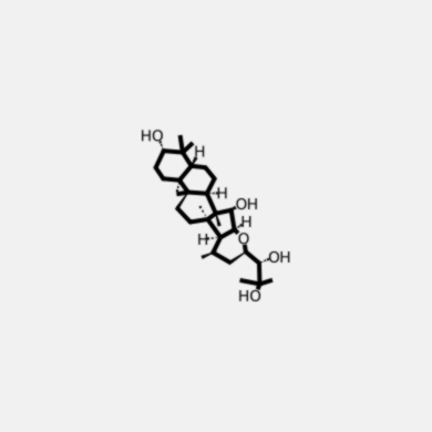 C[C@@H]1C[C@H]([C@H](O)C(C)(C)O)O[C@H]2[C@@H]1[C@@]1(C)CC[C@@]34C[C@@]35CC[C@H](O)C(C)(C)[C@@H]5CC[C@H]4[C@]1(C)[C@H]2O